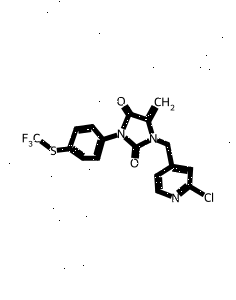 C=C1C(=O)N(c2ccc(SC(F)(F)F)cc2)C(=O)N1Cc1ccnc(Cl)c1